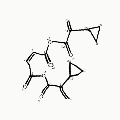 C=C(C(=O)OC(=O)/C=C\C(=O)OC(=O)C(=C)C1CC1)C1CC1